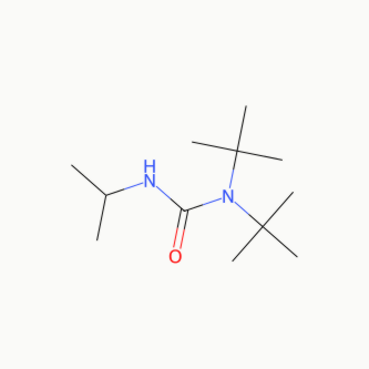 CC(C)NC(=O)N(C(C)(C)C)C(C)(C)C